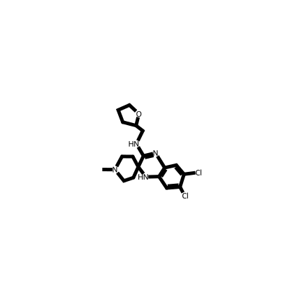 CN1CCC2(CC1)Nc1cc(Cl)c(Cl)cc1N=C2NCC1CCCO1